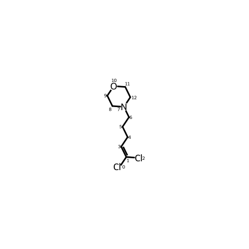 ClC(Cl)=CCCCN1CCOCC1